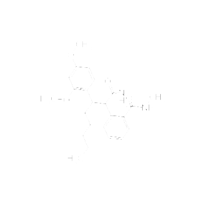 CCCCCC(c1ccc(OC)cc1OC)C(C(N)=O)c1ccccc1C(=O)NC